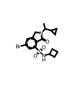 CC(C1CC1)N1Cc2cc(Br)cc(S(=O)(=O)NC3CCC3)c2C1=O